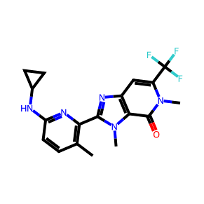 Cc1ccc(NC2CC2)nc1-c1nc2cc(C(F)(F)F)n(C)c(=O)c2n1C